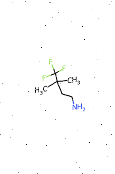 CC(C)(CCN)C(F)(F)F